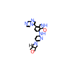 O=C1NCc2c(-c3cnc4cnccn34)ccc(Nc3ccc(N4CC5COC[C@@H]5C4)cn3)c21